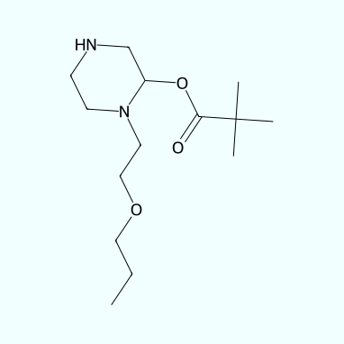 CCCOCCN1CCNCC1OC(=O)C(C)(C)C